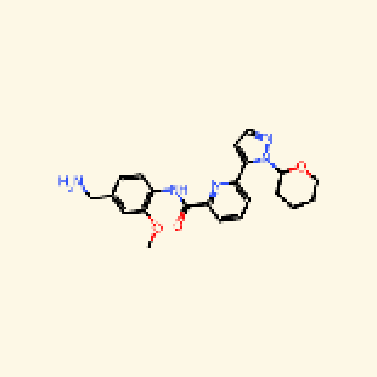 COc1cc(CN)ccc1NC(=O)c1cccc(-c2ccnn2C2CCCCO2)n1